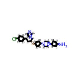 Nc1ccc(N2CCN(c3ccc(SC(CCc4ccc(Cl)cc4)Cn4ccnc4)cc3)CC2)cc1